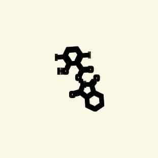 O=C(ON1C(=O)C2CCCCC2C1=O)c1c(I)ccc(I)c1O